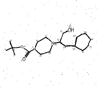 CC(C)(C)OC(=O)N1CCN(C(CO)CC2CCCCC2)CC1